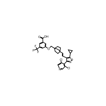 O=C(O)c1cc(OCC23CCC(C=Cc4c(-c5c(Cl)cncc5Cl)noc4C4CC4)(CC2)CC3)cc(C(F)(F)F)c1